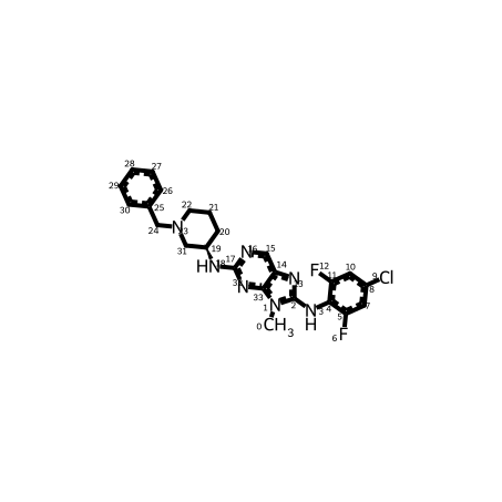 Cn1c(Nc2c(F)cc(Cl)cc2F)nc2cnc(N[C@@H]3CCCN(Cc4ccccc4)C3)nc21